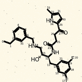 CCc1cccc(CNC[C@@H](O)[C@H](Cc2cc(F)cc(F)c2)NC(=O)CCC(=O)c2ccc(C)[nH]2)c1